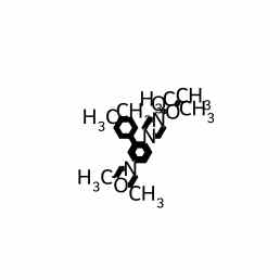 C[C@@H]1CN(c2ccc(N3CCN(C(=O)OC(C)(C)C)CC3)c(C3CCC(C)(C)CC3)c2)C[C@H](C)O1